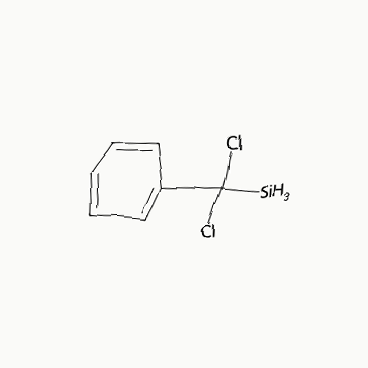 [SiH3]C(Cl)(Cl)c1ccccc1